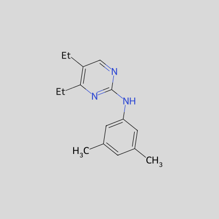 CCc1cnc(Nc2cc(C)cc(C)c2)nc1CC